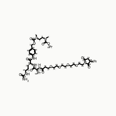 CC(C)OC(=O)N(C)CCN(C)C(=O)OCc1ccc(NC(=O)[C@H](CCCNC(N)=O)NC(=O)C(NC(=O)CCOCCOCCOCCOCCN2C(=O)CC(C(C)C)C2=O)C(C)C)cc1